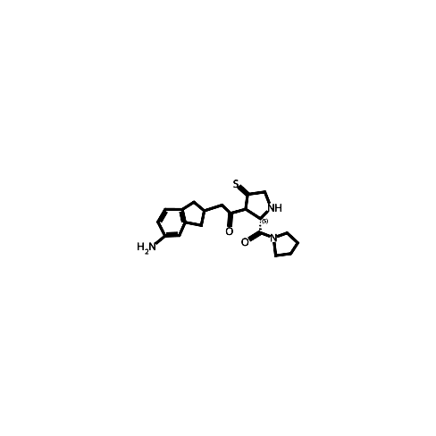 Nc1ccc2c(c1)CC(CC(=O)C1C(=S)CN[C@@H]1C(=O)N1CCCC1)C2